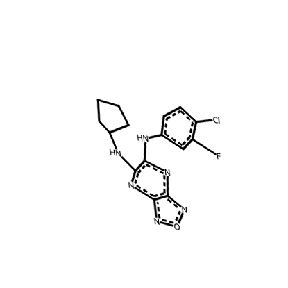 Fc1cc(Nc2nc3nonc3nc2NC2CCCC2)ccc1Cl